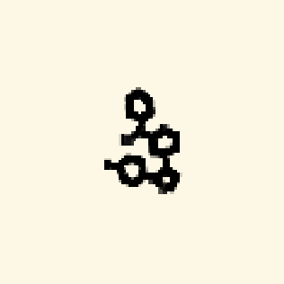 CCN(c1ccccc1)c1cc(-c2ccnn2-c2ccc(F)cc2)ccn1